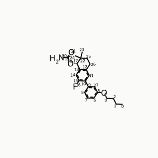 CCCCOc1cccc(-c2cc3c(cc2F)[C@H](OC(N)=O)C(C)(C)CC3)c1